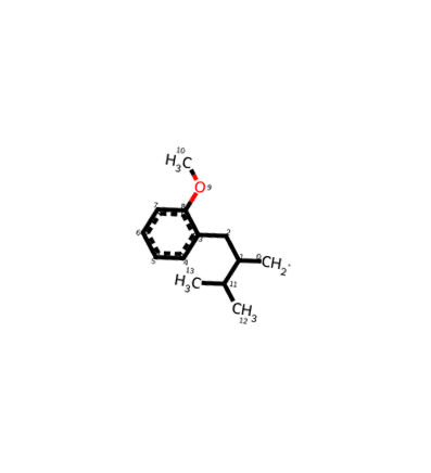 [CH2]C(Cc1ccccc1OC)C(C)C